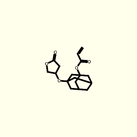 C=CC(=O)OC12CC3CC(C1)CC(OC1COC(=O)C1)(C3)C2